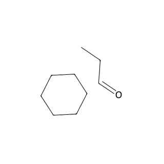 C1CCCCC1.CCC=O